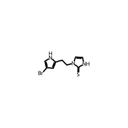 S=c1[nH]ccn1CCc1cc(Br)c[nH]1